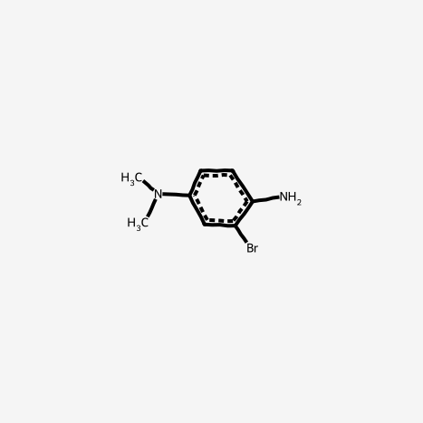 CN(C)c1ccc(N)c(Br)c1